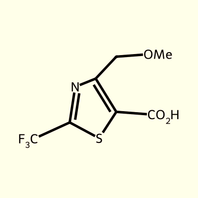 COCc1nc(C(F)(F)F)sc1C(=O)O